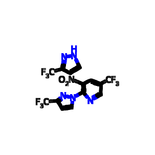 FC(F)(F)c1cc[nH]n1.O=[N+]([O-])c1cc(C(F)(F)F)cnc1-n1ccc(C(F)(F)F)n1